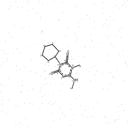 CNc1nc(=O)n(C2CCCCC2)c(=O)n1C